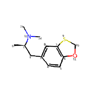 C[C@H](Cc1ccc2c(c1)SCO2)N(C)C